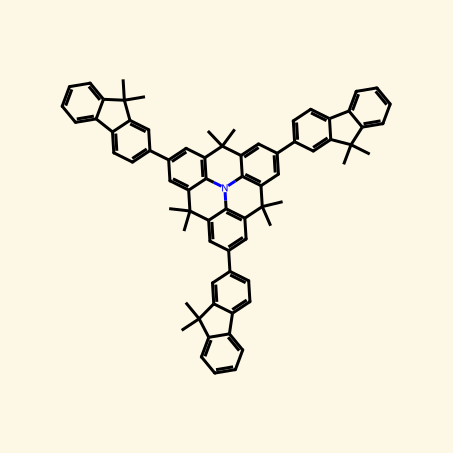 CC1(C)c2ccccc2-c2ccc(-c3cc4c5c(c3)C(C)(C)c3cc(-c6ccc7c(c6)C(C)(C)c6ccccc6-7)cc6c3N5c3c(cc(-c5ccc7c(c5)C(C)(C)c5ccccc5-7)cc3C6(C)C)C4(C)C)cc21